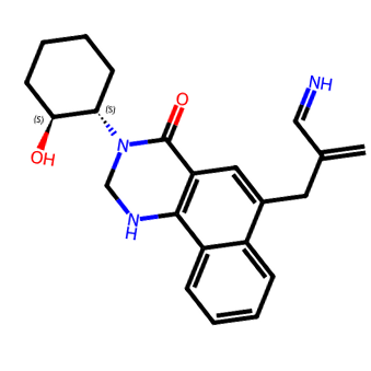 C=C(C=N)Cc1cc2c(c3ccccc13)NCN([C@H]1CCCC[C@@H]1O)C2=O